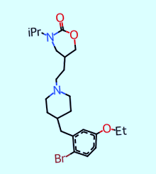 CCOc1ccc(Br)c(CC2CCN(CCC3COC(=O)N(C(C)C)C3)CC2)c1